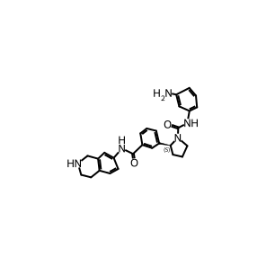 Nc1cccc(NC(=O)N2CCC[C@H]2c2cccc(C(=O)Nc3ccc4c(c3)CNCC4)c2)c1